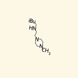 CCC(C)CNCCN1CCN(C)CC1